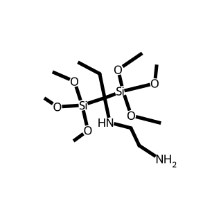 CCC(NCCN)([Si](OC)(OC)OC)[Si](OC)(OC)OC